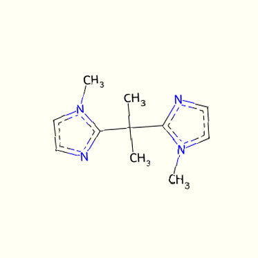 Cn1ccnc1C(C)(C)c1nccn1C